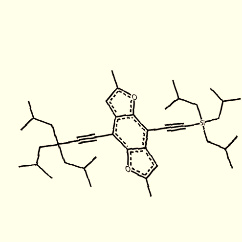 Cc1cc2c(C#C[Si](CC(C)C)(CC(C)C)CC(C)C)c3oc(C)cc3c(C#CC(CC(C)C)(CC(C)C)CC(C)C)c2o1